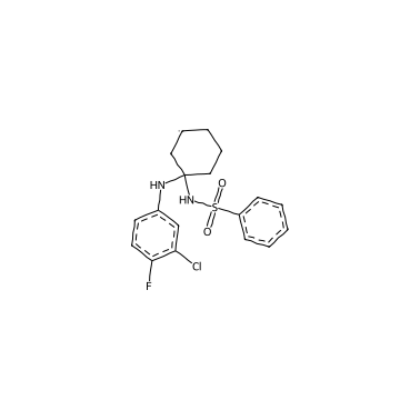 O=S(=O)(NC1(Nc2ccc(F)c(Cl)c2)C[CH]CCC1)c1ccccc1